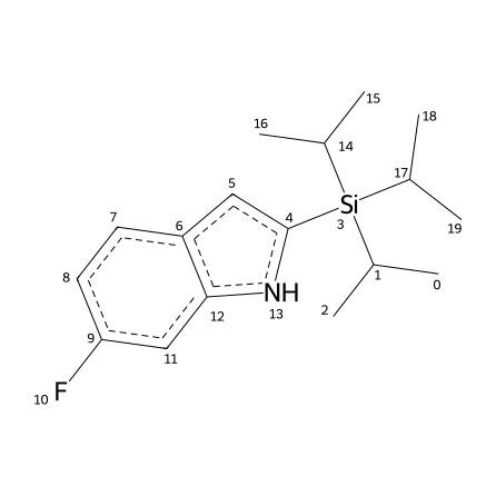 CC(C)[Si](c1cc2ccc(F)cc2[nH]1)(C(C)C)C(C)C